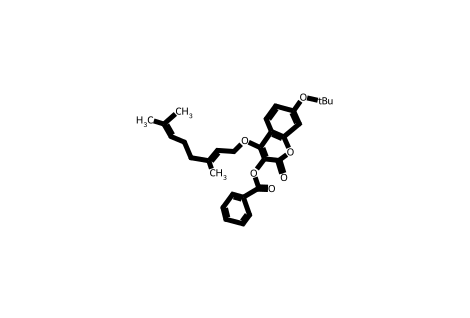 CC(C)=CCC/C(C)=C/COc1c(OC(=O)c2ccccc2)c(=O)oc2cc(OC(C)(C)C)ccc12